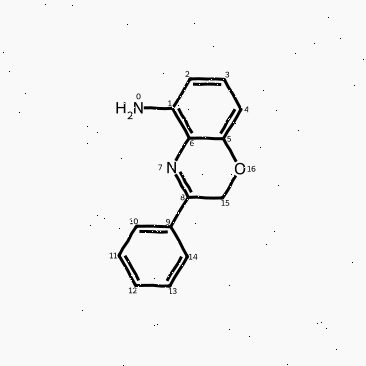 Nc1cccc2c1N=C(c1ccccc1)CO2